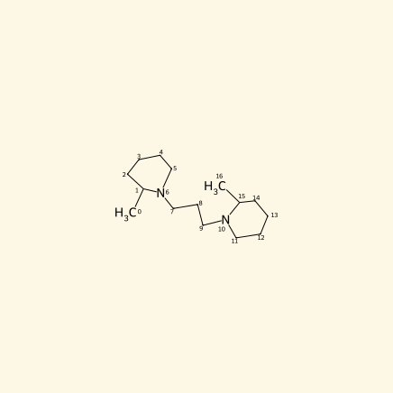 CC1CCCCN1CCCN1CCCCC1C